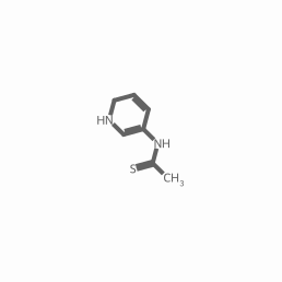 CC(=S)NC1=CNCC=C1